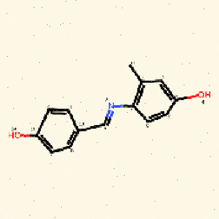 Cc1cc(O)ccc1/N=C/c1ccc(O)cc1